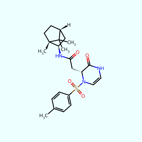 Cc1ccc(S(=O)(=O)N2C=CNC(=O)[C@H]2CC(=O)N[C@@H]2C[C@H]3CC[C@]2(C)C3(C)C)cc1